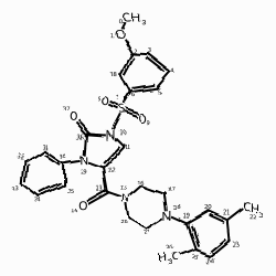 COc1cccc(S(=O)(=O)n2cc(C(=O)N3CCN(c4cc(C)ccc4C)CC3)n(-c3ccccc3)c2=O)c1